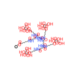 O=C(CCCC(=O)NC(CCC(=O)NC(CCC(=O)NC(CCC(=O)NCCCCCCO[C@H]1O[C@H](CO)[C@@H](O)[C@H](O)[C@@H]1O)C(=O)NCCCCCCO[C@H]1O[C@H](CO)[C@@H](O)[C@H](O)[C@@H]1O)C(=O)NCCCCCCO[C@H]1O[C@H](CO)[C@@H](O)[C@H](O)[C@@H]1O)C(=O)NCCCCCCO[C@H]1O[C@H](CO)[C@@H](O)[C@H](O)[C@@H]1O)NCCCCCCC(=O)OCc1ccccc1